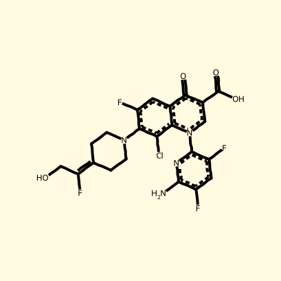 Nc1nc(-n2cc(C(=O)O)c(=O)c3cc(F)c(N4CCC(=C(F)CO)CC4)c(Cl)c32)c(F)cc1F